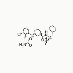 CNC[C@H](CC1CCCCC1)NC(=O)N1CCC[C@@H]([C@H](OCC(N)=O)c2cccc(Cl)c2F)C1